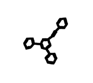 C(#Cc1cc(-c2ccccc2)cc(-c2ccccc2)c1)c1ccccc1